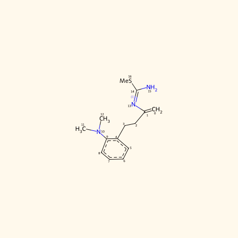 C=C(CCc1ccccc1N(C)C)/N=C(\N)SC